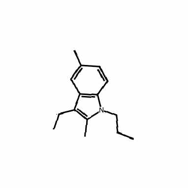 C[CH]c1c(C)n(CCC)c2ccc(C)cc12